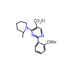 CCOC(=O)c1cnc(-c2ccccc2OC)nc1N1CCCCC1C